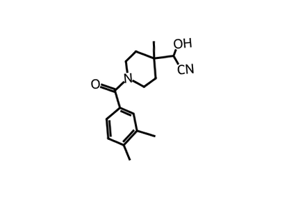 Cc1ccc(C(=O)N2CCC(C)(C(O)C#N)CC2)cc1C